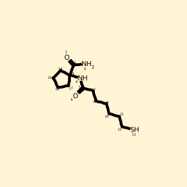 NC(=O)C1(NC(=O)[CH]CCCCCS)CCCC1